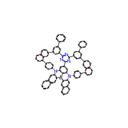 c1ccc(-c2ccc(N3c4cc5ccccc5cc4B4c5cc6ccccc6cc5N(c5ccc(-c6ccccc6)cc5)c5cc(-c6nc(-c7cc(-c8ccccc8)cc(-c8ccccc8)c7)nc(-c7cc(-c8ccccc8)cc(-c8ccccc8)c7)n6)cc3c54)cc2)cc1